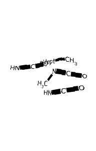 CCCCCCCC.CN=C=O.N=C=O.N=C=O